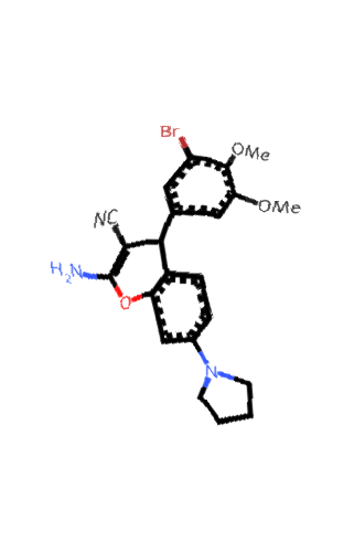 COc1cc(C2C(C#N)=C(N)Oc3cc(N4CCCC4)ccc32)cc(Br)c1OC